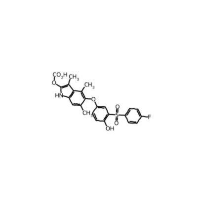 Cc1cc2[nH]c(OC(=O)O)c(C)c2c(C)c1Oc1ccc(O)c(S(=O)(=O)c2ccc(F)cc2)c1